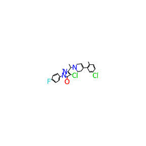 Cc1ccc(Cl)cc1C1=CCN(C(C)c2c(Cl)c(=O)n(-c3ccc(F)cc3)n2C)CC1